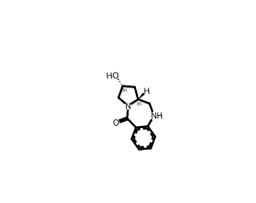 O=C1c2ccccc2NC[C@H]2C[C@@H](O)CN12